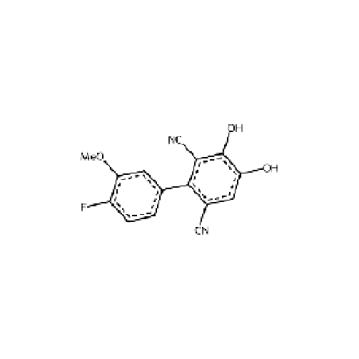 COc1cc(-c2c(C#N)cc(O)c(O)c2C#N)ccc1F